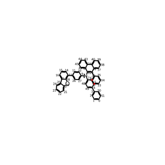 c1ccc(-c2ccc(N(c3ccc(-c4cccc5c4oc4ccccc45)cc3)c3c(-c4ccccc4)c4ccccc4c4ccccc34)cc2)cc1